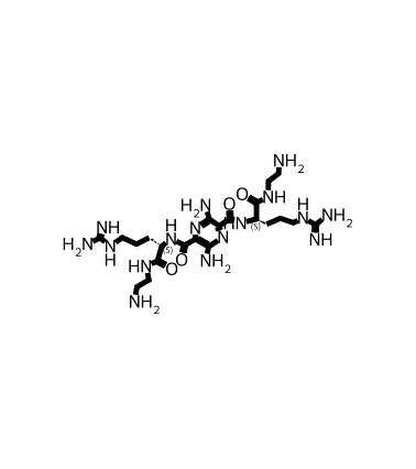 N=C(N)NCCC[C@H](NC(=O)c1nc(N)c(C(=O)N[C@@H](CCCNC(=N)N)C(=O)NCCN)nc1N)C(=O)NCCN